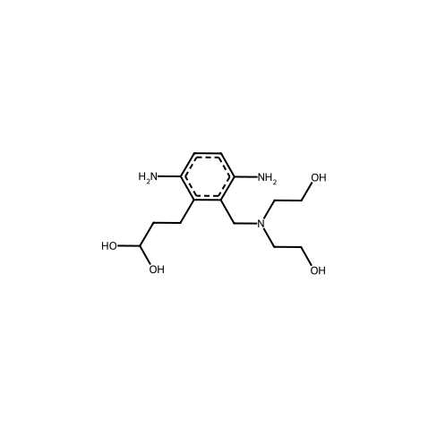 Nc1ccc(N)c(CN(CCO)CCO)c1CCC(O)O